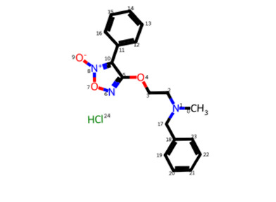 CN(CCOc1no[n+]([O-])c1-c1ccccc1)Cc1ccccc1.Cl